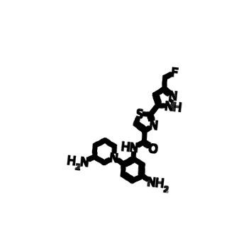 Nc1ccc(N2CCCC(N)C2)c(NC(=O)c2csc(-c3cc(CF)n[nH]3)n2)c1